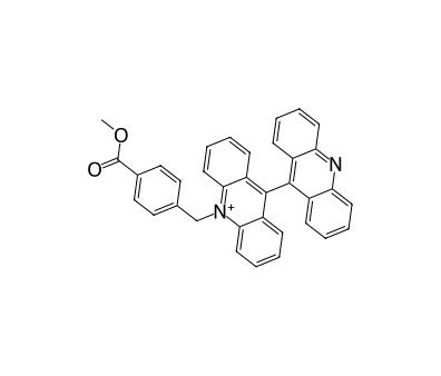 COC(=O)c1ccc(C[n+]2c3ccccc3c(-c3c4ccccc4nc4ccccc34)c3ccccc32)cc1